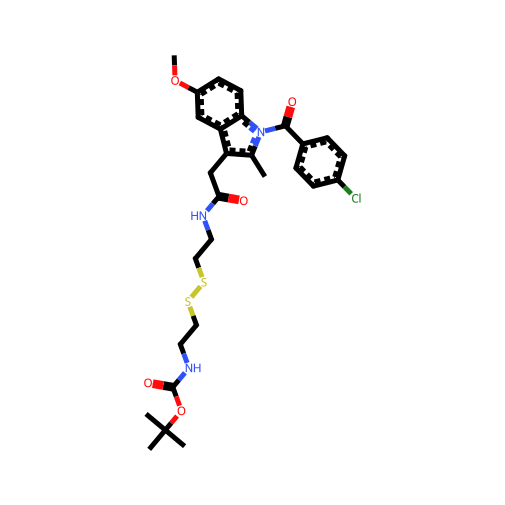 COc1ccc2c(c1)c(CC(=O)NCCSSCCNC(=O)OC(C)(C)C)c(C)n2C(=O)c1ccc(Cl)cc1